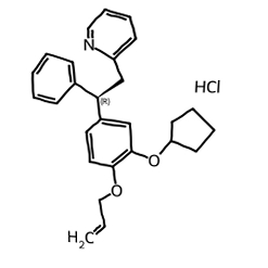 C=CCOc1ccc([C@H](Cc2ccccn2)c2ccccc2)cc1OC1CCCC1.Cl